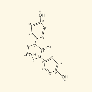 CC(C(=O)C(CC(=O)O)c1ccc(O)cc1)c1ccc(O)cc1